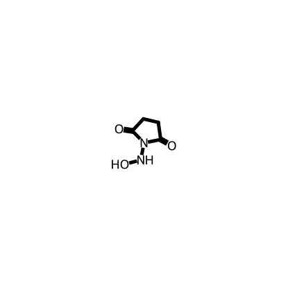 O=C1CCC(=O)N1NO